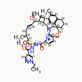 CCn1cc(C(=O)NS2(=O)=NC(=O)c3ccc4c(n3)N(CC3CCC3C(OC)/C=C/CC(C)C2C)CC2(CCCc3cc(C)ccc32)CO4)cn1